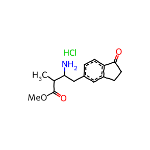 COC(=O)C(C)C(N)Cc1ccc2c(c1)CCC2=O.Cl